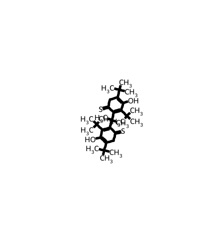 CC(C)(C)C1=C(O)C(C(C)(C)C)=C(C(C)(C)C2=C(C(C)(C)C)C(O)=C(C(C)(C)C)CC2=S)C(=S)C1